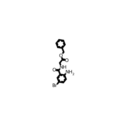 Nc1ccc(Br)cc1C(=O)NCC(=O)OCc1ccccc1